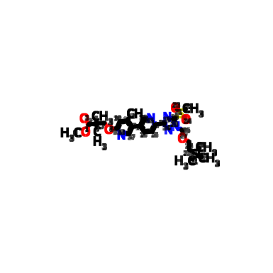 COC(=O)C(C)(C)COc1cc(C)c(-c2ccc(-c3nc(S(C)(=O)=O)n(COCC[Si](C)(C)C)n3)nc2)cn1